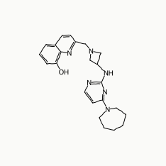 Oc1cccc2ccc(CN3CC(Nc4nccc(N5CCCCCC5)n4)C3)nc12